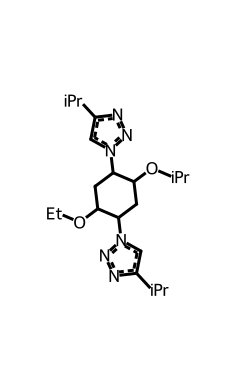 CCOC1CC(n2cc(C(C)C)nn2)C(OC(C)C)CC1n1cc(C(C)C)nn1